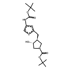 CC(C)(C)OC(=O)Nc1csc(C[C@H]2CN(C(=O)OC(C)(C)C)C[C@@H]2O)n1